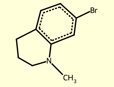 CN1CCCc2ccc(Br)cc21